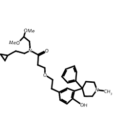 COC(CN(CCC1CC1)C(=O)CCOCCc1ccc(O)c(C2(c3ccccc3)CCN(C)CC2)c1)OC